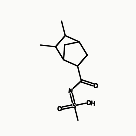 CC1C2CC(C(=O)N=S(C)(=O)O)C(C2)C1C